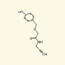 C#CCNC(=O)COCc1ccc(O)cc1